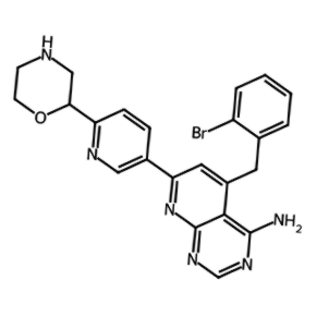 Nc1ncnc2nc(-c3ccc(C4CNCCO4)nc3)cc(Cc3ccccc3Br)c12